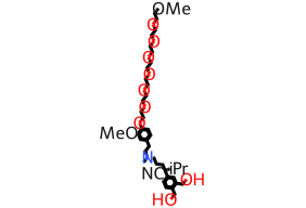 COCCOCCOCCOCCOCCOCCOCCOc1ccc(CCN(C)CCCC(C#N)(c2ccc(CO)c(CO)c2)C(C)C)cc1OC